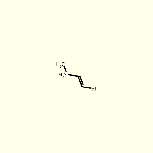 CCC=C[SiH2]C